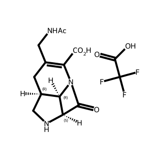 CC(=O)NCC1=C(C(=O)O)N2C(=O)[C@H]3NC[C@@H](C1)[C@H]32.O=C(O)C(F)(F)F